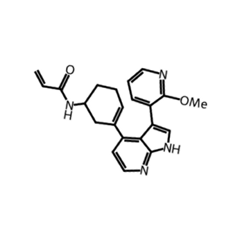 C=CC(=O)NC1CCC=C(c2ccnc3[nH]cc(-c4cccnc4OC)c23)C1